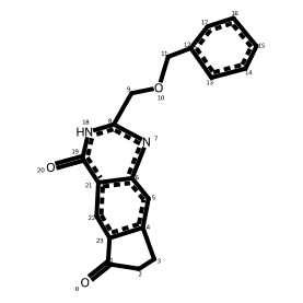 O=C1CCc2cc3nc(COCc4ccccc4)[nH]c(=O)c3cc21